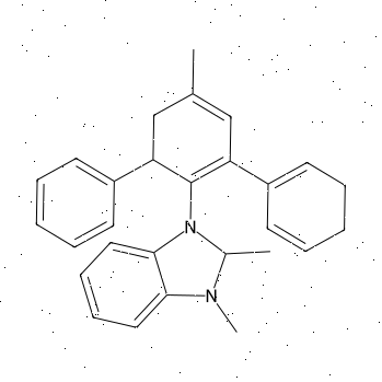 CC1=CC(C2=CCCC=C2)=C(N2c3ccccc3N(C)C2C)C(c2ccccc2)C1